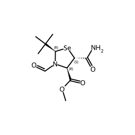 COC(=O)[C@@H]1[C@@H](C(N)=O)[Se][C@H](C(C)(C)C)N1C=O